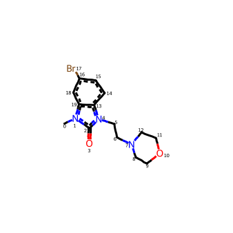 Cn1c(=O)n(CCN2CCOCC2)c2ccc(Br)cc21